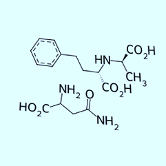 C[C@@H](N[C@@H](CCc1ccccc1)C(=O)O)C(=O)O.NC(=O)CC(N)C(=O)O